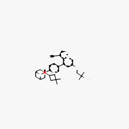 CC(C)(O)COc1cc(-c2ccc(N3CC4CC(C3)N4C(=O)C3CC(C)(C)C3)nc2)c2c(C#N)cnn2c1